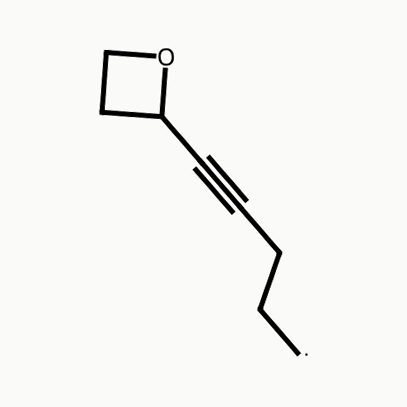 [CH2]CCC#CC1CCO1